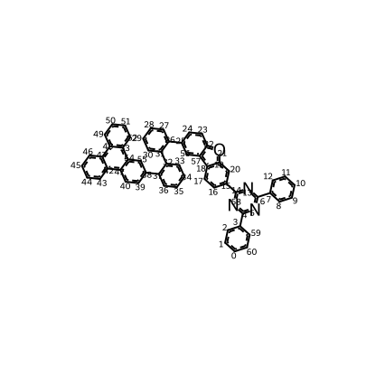 c1ccc(-c2nc(-c3ccccc3)nc(-c3ccc4c(c3)oc3ccc(-c5ccccc5-c5ccccc5-c5ccc6c7ccccc7c7ccccc7c6c5)cc34)n2)cc1